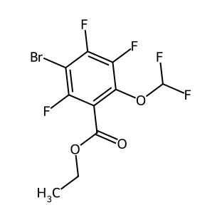 CCOC(=O)c1c(F)c(Br)c(F)c(F)c1OC(F)F